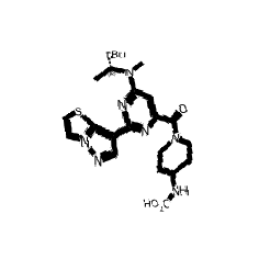 C[C@@H](N(C)c1cc(C(=O)N2CCC(NC(=O)O)CC2)nc(-c2cnn3ccsc23)n1)C(C)(C)C